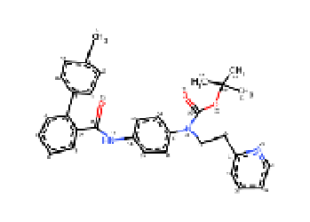 Cc1ccc(-c2ccccc2C(=O)Nc2ccc(N(CCc3ccccn3)C(=O)OC(C)(C)C)cc2)cc1